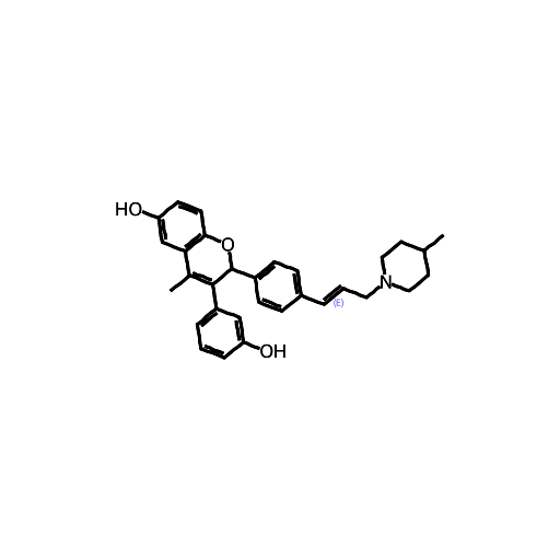 CC1=C(c2cccc(O)c2)C(c2ccc(/C=C/CN3CCC(C)CC3)cc2)Oc2ccc(O)cc21